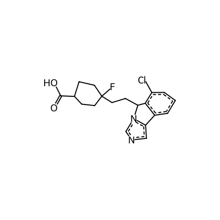 O=C(O)C1CCC(F)(CCC2c3c(Cl)cccc3-c3cncn32)CC1